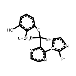 BC(B)(Oc1cccc(O)c1C=O)c1nccnc1-n1ccnc1C(C)C